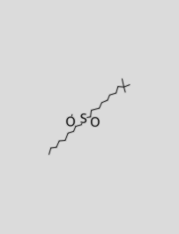 CCCCCCCC(CSC(=O)CCCCCCCC(C)(C)C)OC